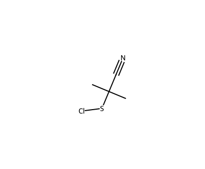 CC(C)(C#N)SCl